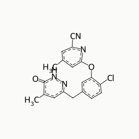 Cc1cc(C#N)nc(Oc2cc(Cc3cc(C)c(=O)[nH]n3)ccc2Cl)c1